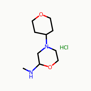 CNC1CN(C2CCOCC2)CCO1.Cl